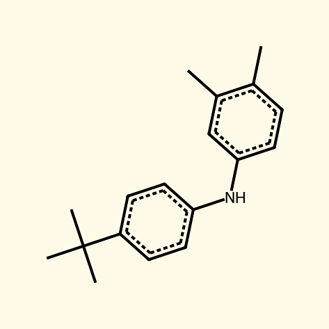 Cc1ccc(Nc2ccc(C(C)(C)C)cc2)cc1C